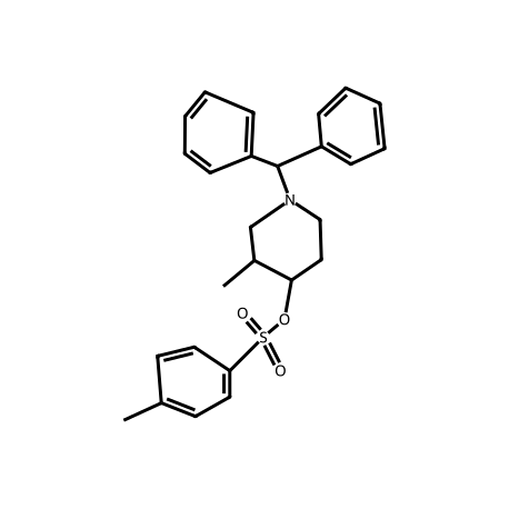 Cc1ccc(S(=O)(=O)OC2CCN(C(c3ccccc3)c3ccccc3)CC2C)cc1